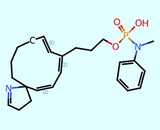 CN(c1ccccc1)P(=O)(O)OCCCC1=C/C=C\C2(CCC=N2)CCCC\C=C\1